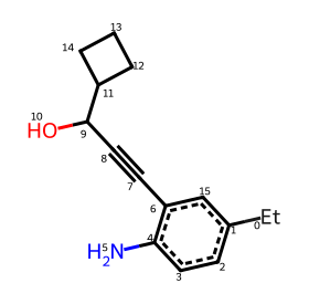 CCc1ccc(N)c(C#CC(O)C2CCC2)c1